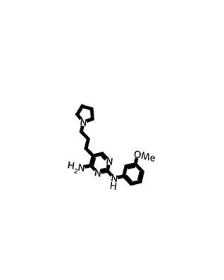 COc1cccc(Nc2ncc(CCCN3CCCC3)c(N)n2)c1